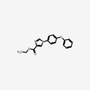 CCOC(=O)c1cn(-c2ccc(Oc3ccccc3)cc2)cn1